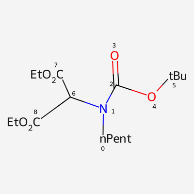 CCCCCN(C(=O)OC(C)(C)C)C(C(=O)OCC)C(=O)OCC